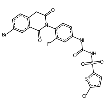 O=C(Nc1ccc(N2C(=O)Cc3ccc(Br)cc3C2=O)c(F)c1)NS(=O)(=O)c1ccc(Cl)s1